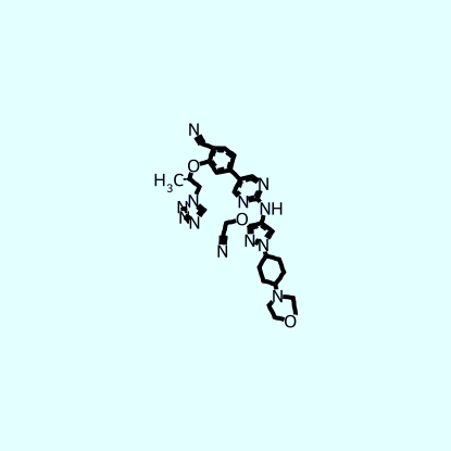 C[C@@H](Cn1cnnn1)Oc1cc(-c2cnc(Nc3cn(C4CCC(N5CCOCC5)CC4)nc3OCC#N)nc2)ccc1C#N